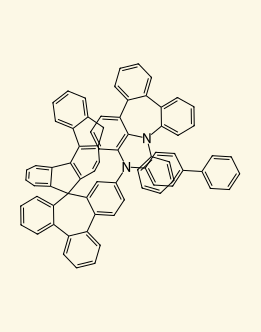 c1ccc(-c2ccc(N(c3ccc4c(c3)C3(c5ccccc5-c5ccccc5-4)c4ccccc4-c4c3ccc3c4-c4ccccc4C3)c3cccc4c3N(c3ccccc3)c3ccccc3-c3ccccc3-4)cc2)cc1